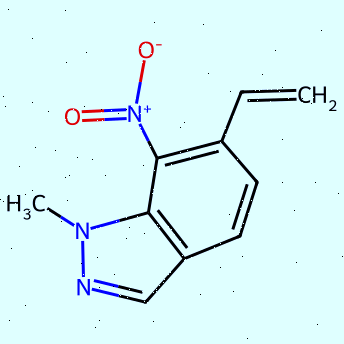 C=Cc1ccc2cnn(C)c2c1[N+](=O)[O-]